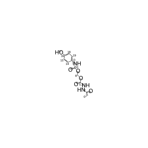 CC(=O)NNC(=O)OCOC(=O)Nc1ccc(O)cc1